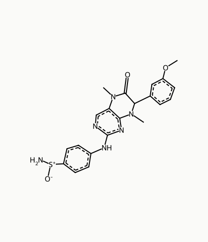 COc1cccc(C2C(=O)N(C)c3cnc(Nc4ccc([S+](N)[O-])cc4)nc3N2C)c1